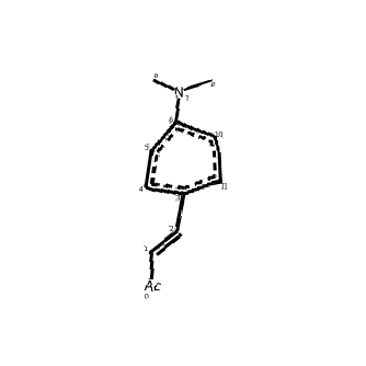 CC(=O)C=Cc1ccc(N(C)C)cc1